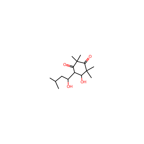 CC(C)CC(O)C1C(=O)C(C)(C)C(=O)C(C)(C)C1O